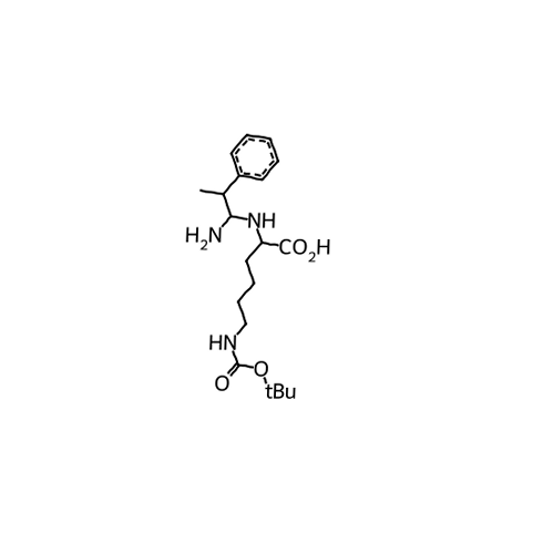 CC(c1ccccc1)C(N)NC(CCCCNC(=O)OC(C)(C)C)C(=O)O